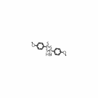 COc1ccc(P2(=S)S[PH](S)(c3ccc(OC)cc3)S2)cc1